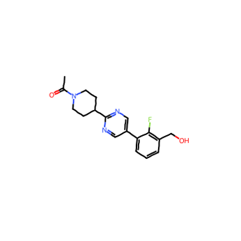 CC(=O)N1CCC(c2ncc(-c3cccc(CO)c3F)cn2)CC1